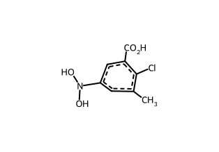 Cc1cc(N(O)O)cc(C(=O)O)c1Cl